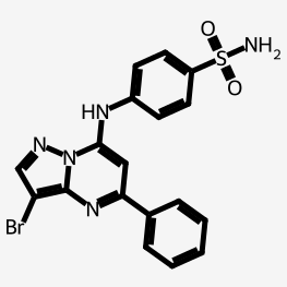 NS(=O)(=O)c1ccc(Nc2cc(-c3ccccc3)nc3c(Br)cnn23)cc1